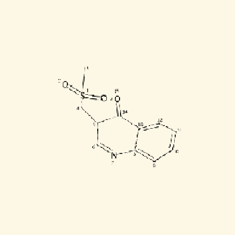 CS(=O)(=O)CC1C=Nc2ccccc2C1=O